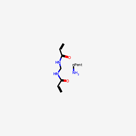 C=CC(=O)NCNC(=O)C=C.CCCCCN